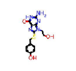 Nc1nc2c(nc(SCc3ccc(O)cc3)n2CCO)c(=O)[nH]1